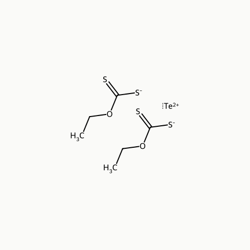 CCOC(=S)[S-].CCOC(=S)[S-].[Te+2]